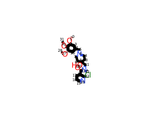 COc1cc(CN2CCC(O)(CN(C)C(=O)c3cccnc3Cl)CC2)cc(OC)c1OC